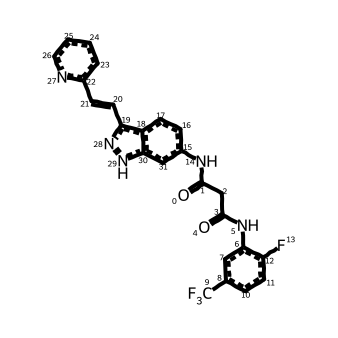 O=C(CC(=O)Nc1cc(C(F)(F)F)ccc1F)Nc1ccc2c(/C=C/c3ccccn3)n[nH]c2c1